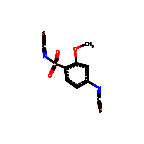 COc1cc(N=C=S)ccc1S(=O)(=O)N=C=S